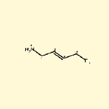 NCC=CCF